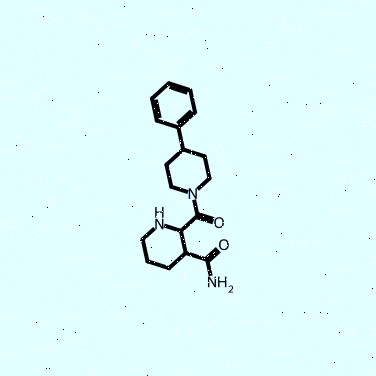 NC(=O)C1CCCNC1C(=O)N1CCC(c2ccccc2)CC1